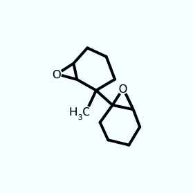 CC1(C23CCCCC2O3)CCCC2OC21